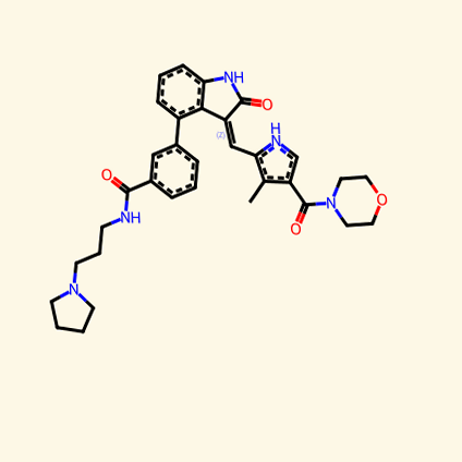 Cc1c(C(=O)N2CCOCC2)c[nH]c1/C=C1\C(=O)Nc2cccc(-c3cccc(C(=O)NCCCN4CCCC4)c3)c21